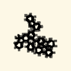 CC1(C)c2ccccc2-c2c(-c3ccccc3N(c3cccc(-c4cccc5c4sc4ccccc45)c3)c3ccc4c(c3)C3(c5ccccc5-c5ccccc53)c3ccccc3-4)cccc21